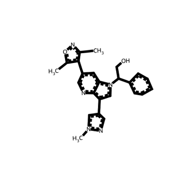 Cc1noc(C)c1-c1cnc2c(-c3cnn(C)c3)cn(C(CO)c3ccccc3)c2c1